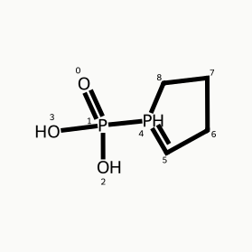 O=P(O)(O)[PH]1=CCCC1